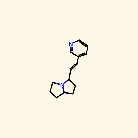 C(=C\C1CCC2CCCN12)/c1cccnc1